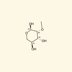 CO[C@@H]1[C@H](O)[C@@H](O)CO[C@H]1O